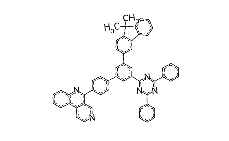 CC1(C)c2ccccc2-c2cc(-c3cc(-c4ccc(-c5nc6ccccc6c6ccncc56)cc4)cc(-c4nc(-c5ccccc5)nc(-c5ccccc5)n4)c3)ccc21